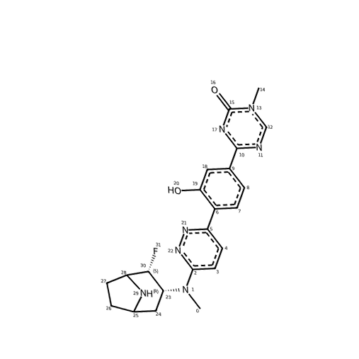 CN(c1ccc(-c2ccc(-c3ncn(C)c(=O)n3)cc2O)nn1)[C@@H]1CC2CCC(N2)[C@@H]1F